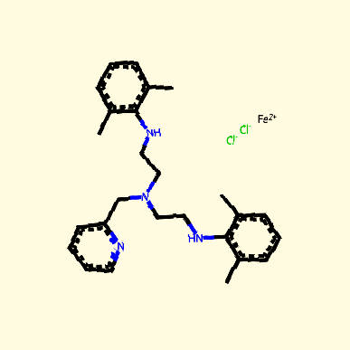 Cc1cccc(C)c1NCCN(CCNc1c(C)cccc1C)Cc1ccccn1.[Cl-].[Cl-].[Fe+2]